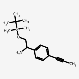 CC#Cc1ccc(C(N)CO[Si](C)(C)C(C)(C)C)cc1